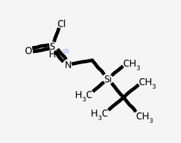 CC(C)(C)[Si](C)(C)C/N=[SH](=O)\Cl